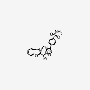 CC(C)C(C(=O)N(C)Cc1ccccc1)n1cc(-c2ccc(S(N)(=O)=O)cc2)nn1